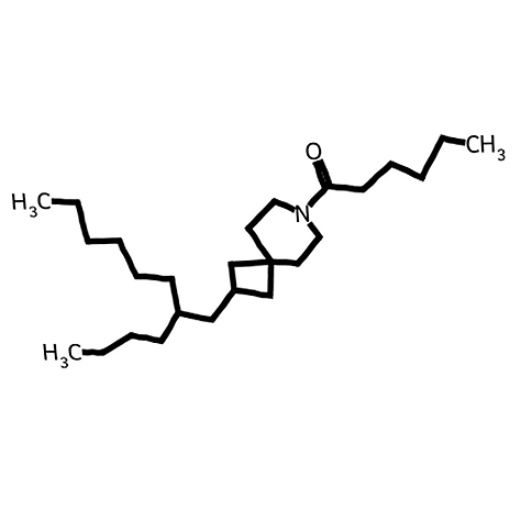 CCCCCCC(CCCC)CC1CC2(CCN(C(=O)CCCCC)CC2)C1